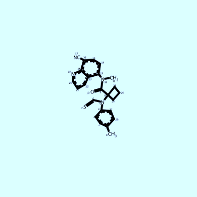 Cc1ccc(N(C=S)C2(C(=O)N(C)c3ccc(C#N)c4ncccc34)CCC2)cc1